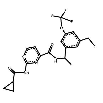 CC(NC(=O)c1ccnc(NC(=O)C2CC2)n1)c1cc(CI)cc(OC(F)(F)F)c1